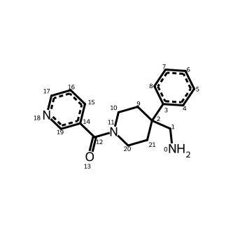 NCC1(c2ccccc2)CCN(C(=O)c2cccnc2)CC1